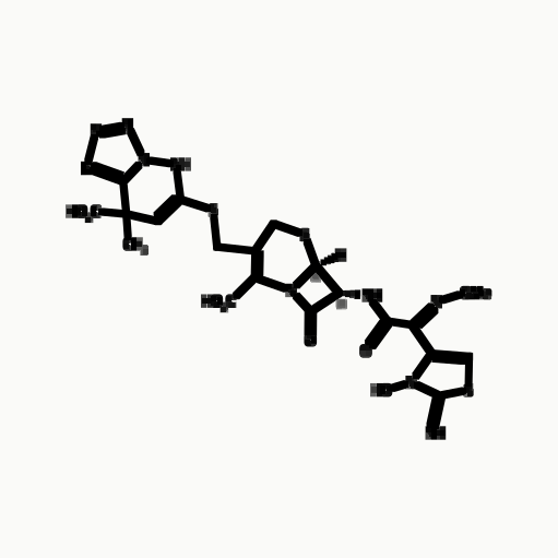 CON=C(C(=O)N[C@@H]1C(=O)N2C(C(=O)O)=C(CSC3=CC(C)(C(=O)O)c4nnnn4N3)CS[C@@H]12)c1csc(=N)n1O